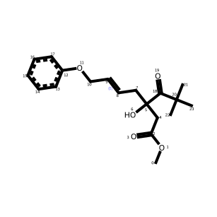 COC(=O)CC(O)(C/C=C/COc1ccccc1)C(=O)C(C)(C)C